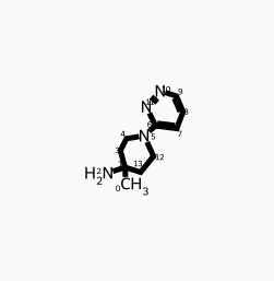 CC1(N)CCN(c2cccnn2)CC1